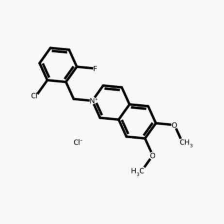 COc1cc2cc[n+](Cc3c(F)cccc3Cl)cc2cc1OC.[Cl-]